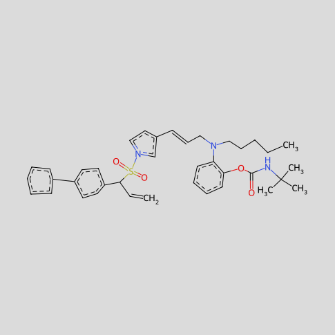 C=CC(c1ccc(-c2ccccc2)cc1)S(=O)(=O)n1ccc(C=CCN(CCCCC)c2ccccc2OC(=O)NC(C)(C)C)c1